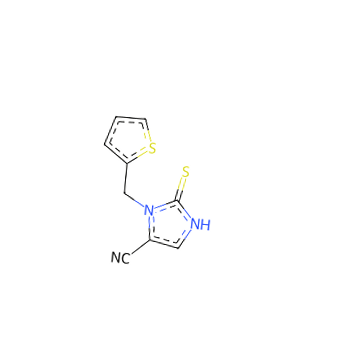 N#Cc1c[nH]c(=S)n1Cc1cccs1